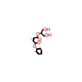 O=C(/C=C\C(=O)OC(CO)CO)Oc1ccccc1